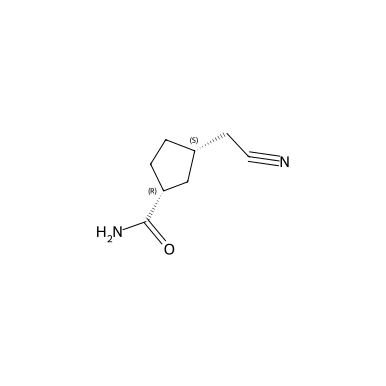 N#CC[C@H]1CC[C@@H](C(N)=O)C1